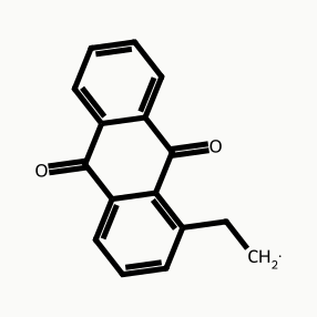 [CH2]Cc1cccc2c1C(=O)c1ccccc1C2=O